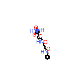 O=C(CCCC(=O)NCC1CCC(c2c[nH]c(=O)[nH]c2=O)O1)NCc1ccccc1